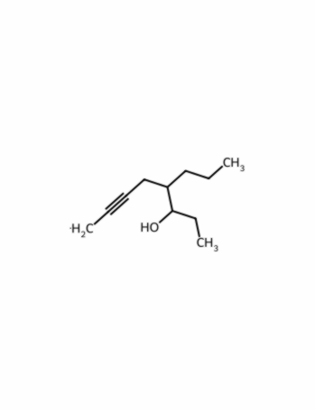 [CH2]C#CCC(CCC)C(O)CC